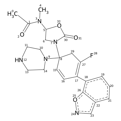 CC(=O)N(C)C1CN(C2(N3CCNCC3)C=CC(c3cccc4cnoc34)=C(F)C2)C(=O)O1